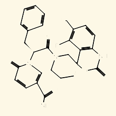 NC(=O)c1ccc(=O)n([C@@H](Cc2ccccc2)C(=O)N2CCC[C@@]3(C2)OC(=O)Nc2ccc(Cl)c(F)c23)c1